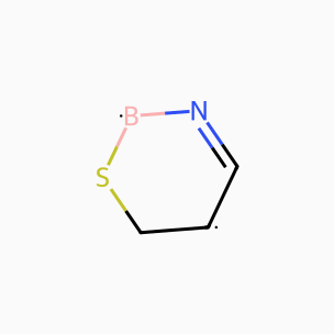 [B]1N=C[CH]CS1